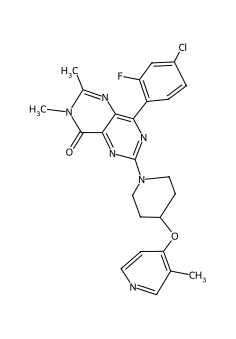 Cc1cnccc1OC1CCN(c2nc(-c3ccc(Cl)cc3F)c3nc(C)n(C)c(=O)c3n2)CC1